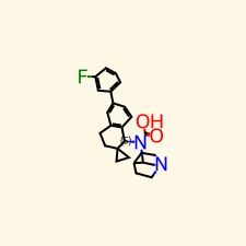 O=C(O)N(C1CN2CCC1CC2)[C@@H]1c2ccc(-c3cccc(F)c3)cc2CCC12CC2